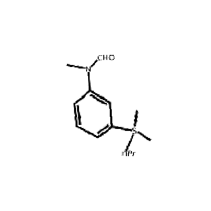 CCCS(C)(C)c1cccc(N(C)C=O)c1